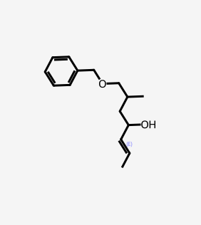 C/C=C/C(O)CC(C)COCc1ccccc1